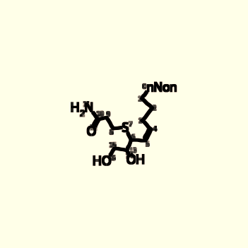 CCCCCCCCCCCC/C=C\C(SCCC(N)=O)C(O)CO